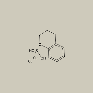 O=S(=O)(O)O.[Cu].[Cu].c1ccc2c(c1)CCCO2